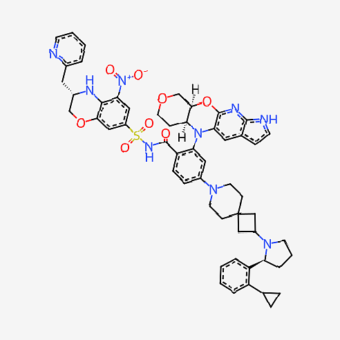 O=C(NS(=O)(=O)c1cc2c(c([N+](=O)[O-])c1)N[C@@H](Cc1ccccn1)CO2)c1ccc(N2CCC3(CC2)CC(N2CCC[C@H]2c2ccccc2C2CC2)C3)cc1N1c2cc3cc[nH]c3nc2O[C@@H]2COCC[C@@H]21